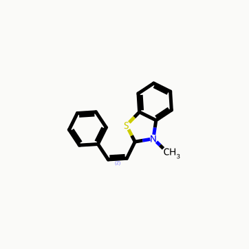 CN1c2ccccc2SC1/C=C\c1ccccc1